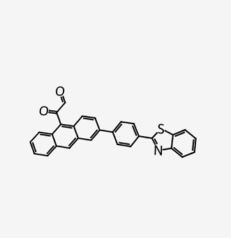 O=CC(=O)c1c2ccccc2cc2cc(-c3ccc(-c4nc5ccccc5s4)cc3)ccc12